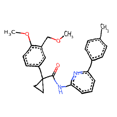 COCc1cc(C2(C(=O)Nc3cccc(-c4ccc(C)cc4)n3)CC2)ccc1OC